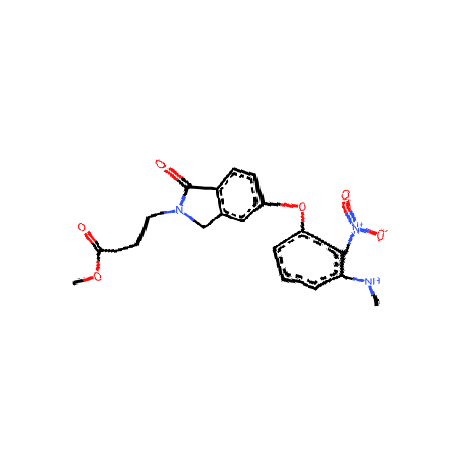 CNc1cccc(Oc2ccc3c(c2)CN(CCC(=O)OC)C3=O)c1[N+](=O)[O-]